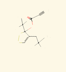 C#CC(=O)OC1(C(C)(C)C)SSC=C1CC(C)(C)C